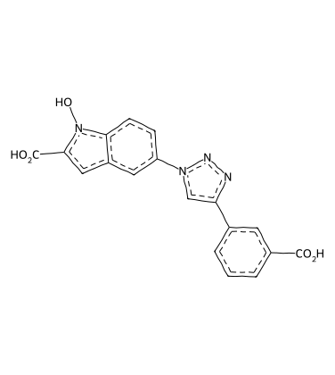 O=C(O)c1cccc(-c2cn(-c3ccc4c(c3)cc(C(=O)O)n4O)nn2)c1